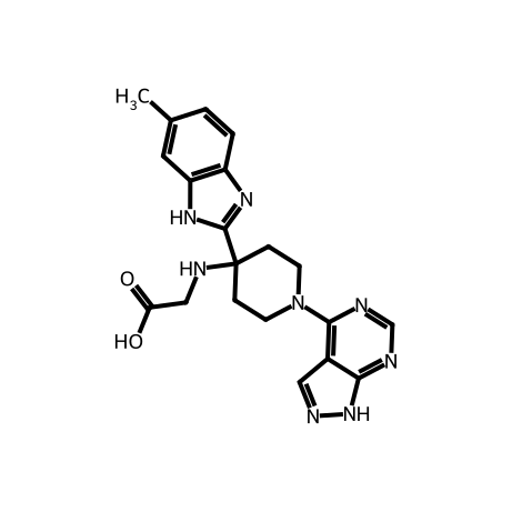 Cc1ccc2nc(C3(NCC(=O)O)CCN(c4ncnc5[nH]ncc45)CC3)[nH]c2c1